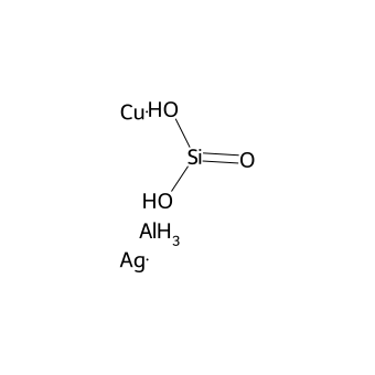 O=[Si](O)O.[Ag].[AlH3].[Cu]